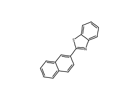 [c]1ccc2cc(-c3nc4ccccc4s3)ccc2c1